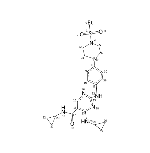 CCS(=O)(=O)N1CCN(c2ccc(Nc3ncc(C(=O)NC4CC4)c(NC4CC4)n3)cc2)CC1